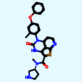 Cc1cc(Oc2ccccc2)ccc1N1C(=O)Nc2c(C(=O)N(C)[C@@H]3CCNC3)sc3nccc1c23